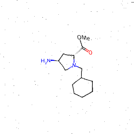 COC(=O)[C@H]1C[C@H](N)CN1CC1CCCCC1